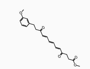 COC(=O)CCC(=O)C=CC=CC=CC(=O)CCc1cccc(OC)c1